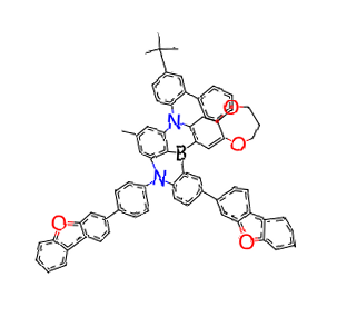 Cc1cc2c3c(c1)N(c1ccc(-c4ccc5c(c4)oc4ccccc45)cc1)c1ccc(-c4ccc5c(c4)oc4ccccc45)cc1B3C1=C(CC3OCCCOC3=C1)N2c1ccc(C(C)(C)C)cc1-c1ccccc1